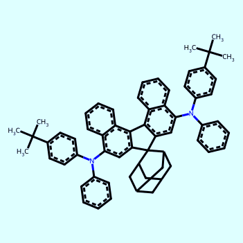 CC(C)(C)c1ccc(N(c2ccccc2)c2cc3c(c4ccccc24)-c2c(cc(N(c4ccccc4)c4ccc(C(C)(C)C)cc4)c4ccccc24)C32C3CC4CC(C3)CC2C4)cc1